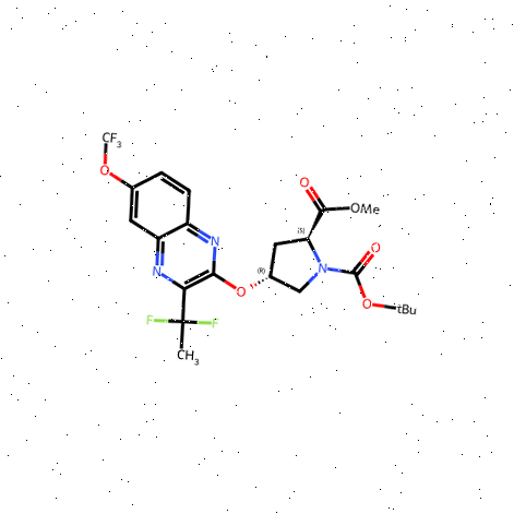 COC(=O)[C@@H]1C[C@@H](Oc2nc3ccc(OC(F)(F)F)cc3nc2C(C)(F)F)CN1C(=O)OC(C)(C)C